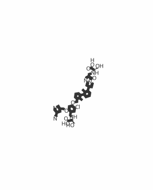 Cc1c(COc2cc(OCc3cncc(C#N)c3)c(CN[C@@H](CO)C(=O)O)cc2Cl)cccc1-c1cccc(-c2ccn3c(=O)c(CN[C@@H](CO)C(=O)O)cnc3c2)c1C